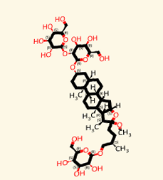 COC1(CC[C@H](C)CO[C@@H]2O[C@H](CO)[C@@H](O)[C@H](O)[C@H]2O)O[C@H]2C[C@H]3[C@@H]4CC[C@@H]5C[C@@H](O[C@@H]6O[C@H](CO)[C@H](O)[C@H](O)[C@H]6O[C@@H]6O[C@H](CO)[C@@H](O)[C@H](O)[C@H]6O)CC[C@]5(C)[C@H]4CC[C@]3(C)[C@H]2[C@@H]1C